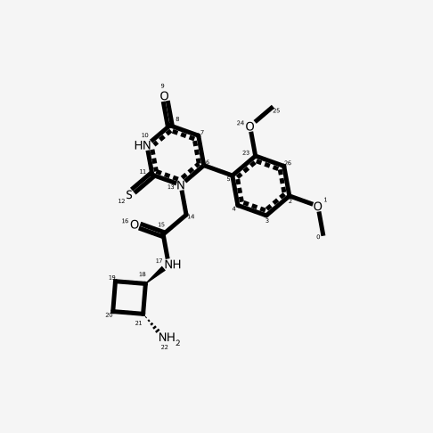 COc1ccc(-c2cc(=O)[nH]c(=S)n2CC(=O)N[C@@H]2CC[C@H]2N)c(OC)c1